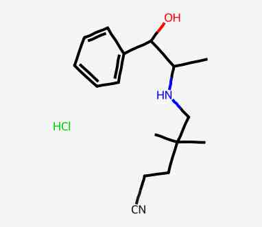 CC(NCC(C)(C)CCC#N)C(O)c1ccccc1.Cl